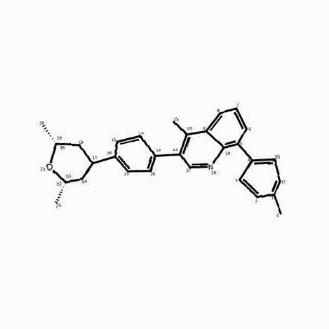 Cc1ccc(-c2cccc3c(C)c(-c4ccc(C5C[C@@H](C)O[C@@H](C)C5)cc4)cnc23)cc1